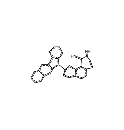 N=C1C=Cc2ccc3ccc(-n4c5ccccc5c5cc6ccccc6cc54)cc3c2C1=N